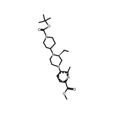 CC[C@H]1CN(c2ccc(C(=O)OC)nc2C)CCN1C1CCN(C(=O)OC(C)(C)C)CC1